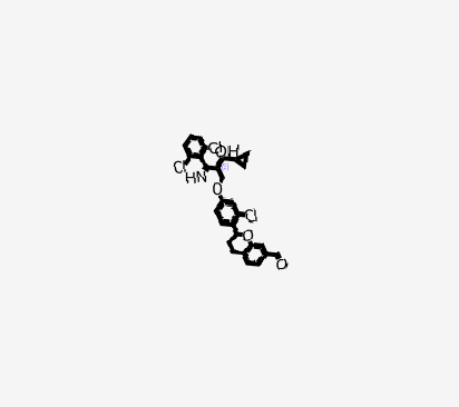 N=C(/C(COc1ccc(C2CCc3ccc(C=O)cc3O2)c(Cl)c1)=C(\O)C1CC1)c1c(Cl)cccc1Cl